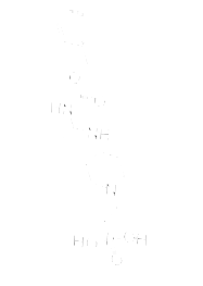 CC(NC(=O)OCc1ccccc1)NC1CCN(CCP(=O)(O)O)CC1